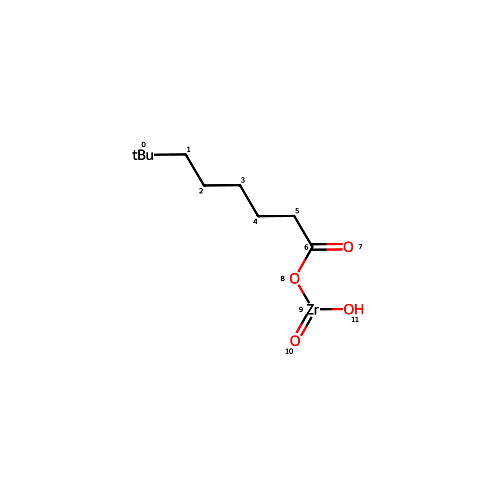 CC(C)(C)CCCCCC(=O)[O][Zr](=[O])[OH]